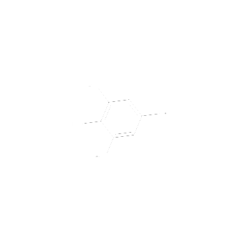 CCCCCc1cc(O)cc(CCCCC)c1O